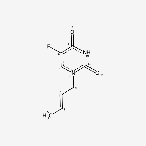 CC=CCn1cc(F)c(=O)[nH]c1=O